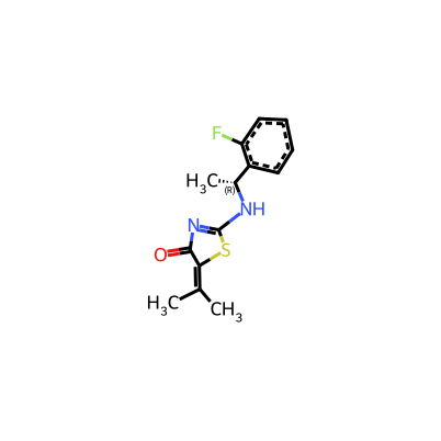 CC(C)=C1SC(N[C@H](C)c2ccccc2F)=NC1=O